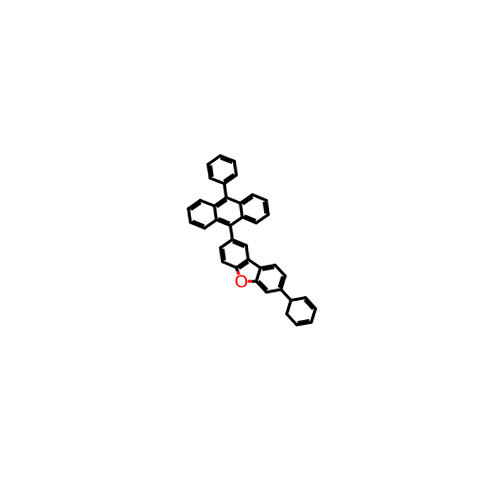 C1=CCC(c2ccc3c(c2)oc2ccc(-c4c5ccccc5c(-c5ccccc5)c5ccccc45)cc23)C=C1